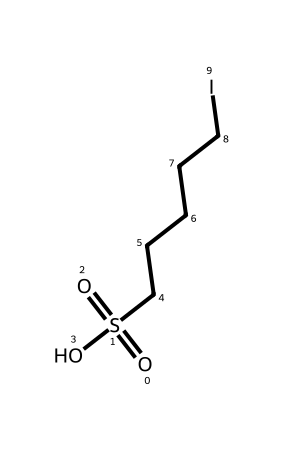 O=S(=O)(O)CCCCCI